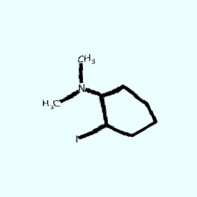 CN(C)C1CCCCC1I